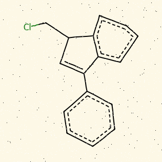 Cl[CH]C1C=C(c2ccccc2)c2ccccc21